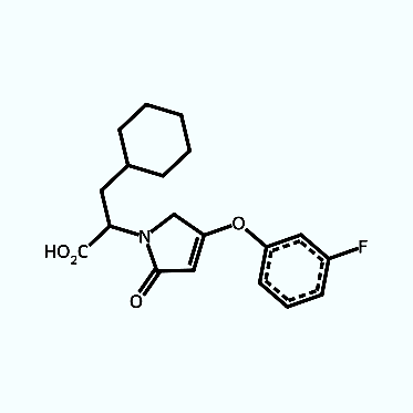 O=C(O)C(CC1CCCCC1)N1CC(Oc2cccc(F)c2)=CC1=O